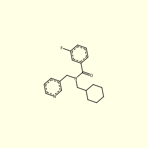 O=C(c1cccc(F)c1)N(Cc1cccnc1)CC1CCCCC1